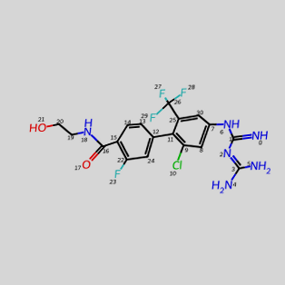 N=C(N=C(N)N)Nc1cc(Cl)c(-c2ccc(C(=O)NCCO)c(F)c2)c(C(F)(F)F)c1